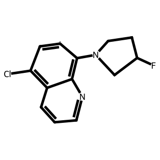 FC1CCN(c2[c]cc(Cl)c3cccnc23)C1